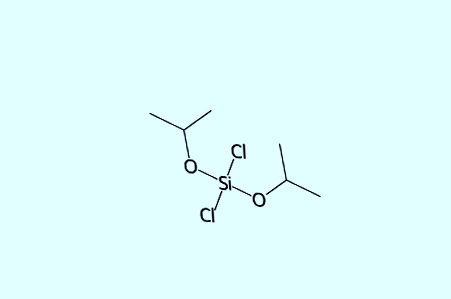 CC(C)O[Si](Cl)(Cl)OC(C)C